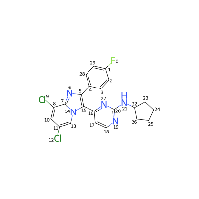 Fc1ccc(-c2nc3c(Cl)cc(Cl)cn3c2-c2ccnc(NC3CCCC3)n2)cc1